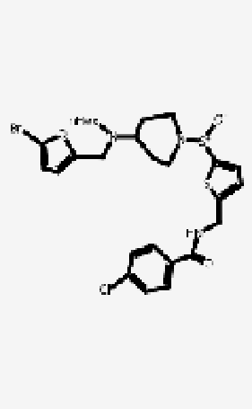 CCCCCCN(Cc1ccc(Br)o1)C1CCN([S+]([O-])c2ccc(CNC(=O)c3ccc(Cl)cc3)s2)CC1